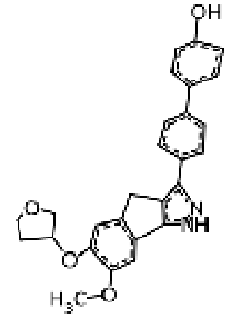 COc1cc2c(cc1OC1CCOC1)Cc1c(-c3ccc(-c4ccc(O)cc4)cc3)n[nH]c1-2